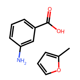 Cc1ccco1.Nc1cccc(C(=O)O)c1